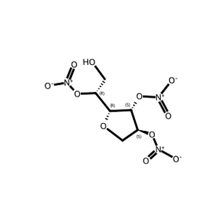 O=[N+]([O-])O[C@H]1[C@@H]([C@@H](CO)O[N+](=O)[O-])OC[C@@H]1O[N+](=O)[O-]